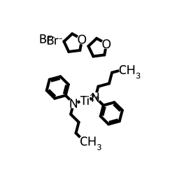 C1CCOC1.C1CCOC1.CCCC[N]([Ti+2][N](CCCC)c1ccccc1)c1ccccc1.[Br-].[Br-]